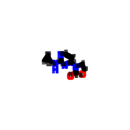 O=C1OCCN1c1ccnc(NC2CC2)n1